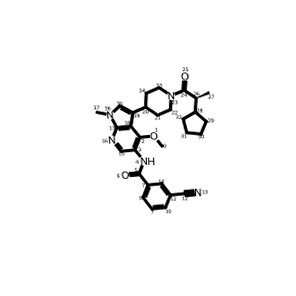 COc1c(NC(=O)c2cccc(C#N)c2)cnc2c1c(C1CCN(C(=O)[C@@H](C)C3CCCC3)CC1)cn2C